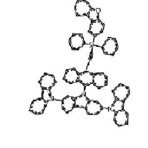 C(#C[Si](c1ccccc1)(c1ccccc1)c1ccc2oc3ccccc3c2c1)c1c2ccccc2c(-n2c3cc(-n4c5ccccc5c5ccccc54)ccc3c3ccc(-n4c5ccccc5c5ccccc54)cc32)c2ccccc12